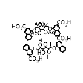 CC(=O)O[C@H]([C@H](OC(C)=O)[C@H](COc1cc(C(=O)O)cc2ccccc12)OC(C)=O)[C@@H](COc1cc(C(=O)O)cc2ccccc12)OC(C)=O.O=C(O)c1cc(OC[C@@H](O)[C@H](O)[C@H](O)[C@@H](O)COc2cc(C(=O)O)cc3ccccc23)c2ccccc2c1